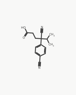 CC(C)C(C#N)(CCC(=O)O)c1ccc(C#N)cc1